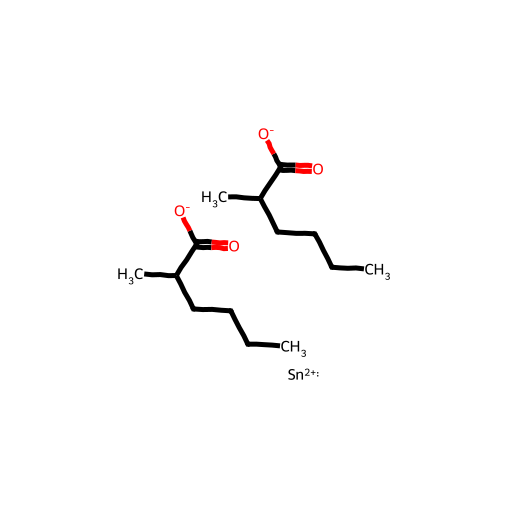 CCCCC(C)C(=O)[O-].CCCCC(C)C(=O)[O-].[Sn+2]